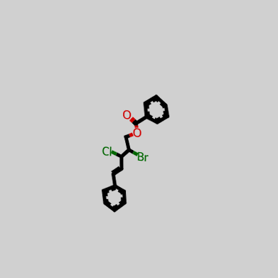 O=C(OCC(Br)C(Cl)C=Cc1ccccc1)c1ccccc1